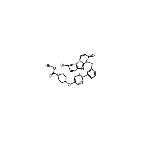 CC(C)(C)OC(=O)N1CCC(Oc2cnc(-c3cccc(Cn4c(=O)ccn5c6cc(Br)ccc6nc45)c3)nc2)CC1